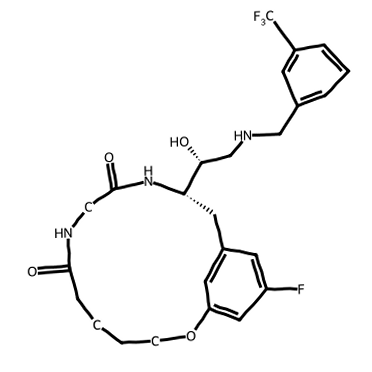 O=C1CCCCOc2cc(F)cc(c2)C[C@@H]([C@H](O)CNCc2cccc(C(F)(F)F)c2)NC(=O)CN1